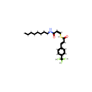 CCCCCCCCNC(=O)/C=C\SC(=O)/C=C/c1ccc(C(F)(F)F)cc1